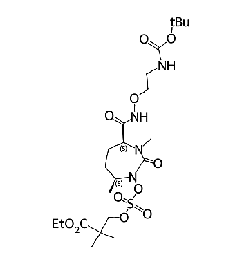 CCOC(=O)C(C)(C)COS(=O)(=O)ON1C(=O)N(C)[C@H](C(=O)NOCCNC(=O)OC(C)(C)C)CC[C@@H]1C